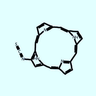 S=C=Nc1cc2cc3nc(cc4ccc(cc5nc(cc1[nH]2)C=C5)[nH]4)C=C3